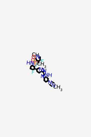 COc1ncc(F)c(C)c1S(=O)(=O)Nc1ccc(F)c(-c2ccc3c(-c4nc5ccc(N6CCN(C)CC6)cc5[nH]4)ncn3c2)c1F